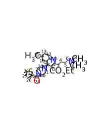 CCOC(=O)c1c(CCCCN(C)C)nc2ccc(C)cc2c1N1CCN(C(=O)c2cccs2)CC1